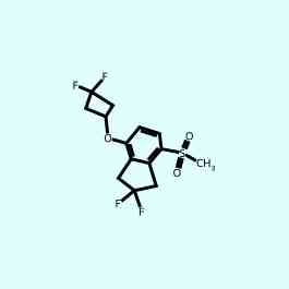 CS(=O)(=O)c1ccc(OC2CC(F)(F)C2)c2c1CC(F)(F)C2